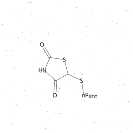 CCCCCSC1SC(=O)NC1=O